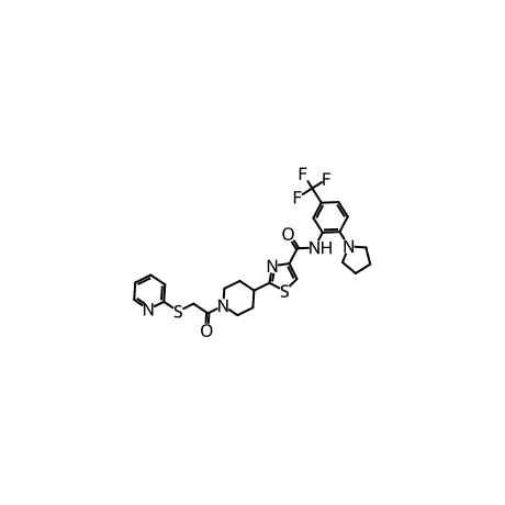 O=C(Nc1cc(C(F)(F)F)ccc1N1CCCC1)c1csc(C2CCN(C(=O)CSc3ccccn3)CC2)n1